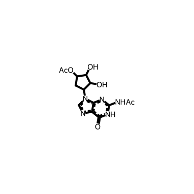 CC(=O)Nc1nc2c(ncn2C2CC(OC(C)=O)C(O)C2O)c(=O)[nH]1